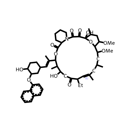 CCC1/C=C(\C)CC(C)CC(OC)C2OC(O)(C(=O)C(=O)N3CCCCC3C(=O)OC(C(C)=CC3CCC(O)C(Oc4cccc5ccccc45)C3)C(C)C(O)CC1=O)C(C)CC2OC